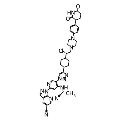 C[C@H](C#N)Nc1cc(-n2ncc3cc(C#N)cnc32)ncc1-n1cc(C2CCC([C@@H](Cl)CN3CCN(c4ccc(C5CCC(=O)NC5=O)cc4)CC3)CC2)nn1